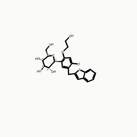 OCCOc1cc(Cl)c(Cc2cc3ccccc3s2)cc1[C@@H]1O[C@H](CO)[C@@H](O)[C@H](O)[C@H]1O